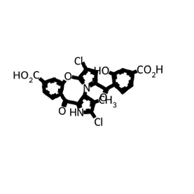 Cc1c(Cl)[nH]c2c1-n1c(C(=O)c3ccc(C(=O)O)cc3O)cc(Cl)c1Oc1cc(C(=O)O)ccc1C2=O